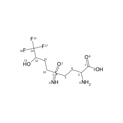 N=S(=O)(CCC(N)C(=O)O)CCC(O)C(F)(F)F